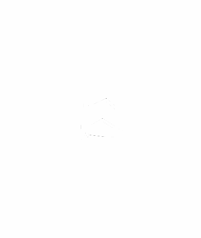 O=CO.O=CO.[OH][AlH2]